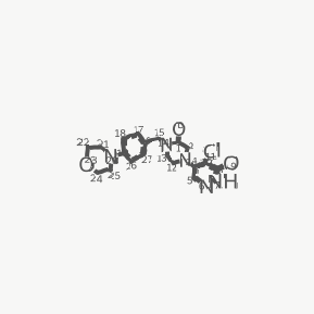 O=C1CN(c2cn[nH]c(=O)c2Cl)CCN1Cc1ccc(N2CCOCC2)cc1